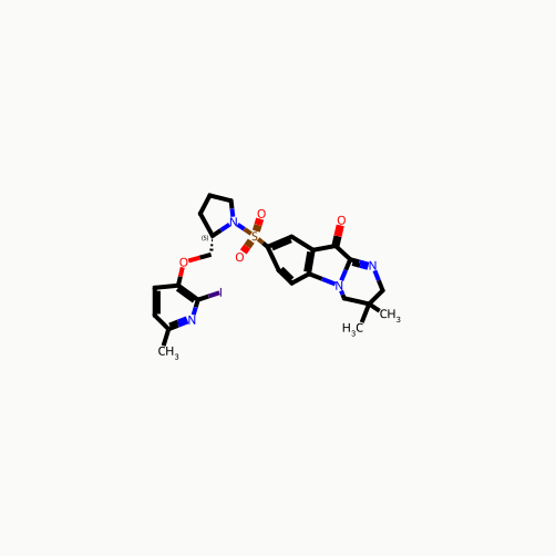 Cc1ccc(OC[C@@H]2CCCN2S(=O)(=O)c2ccc3c(c2)C(=O)C2=NCC(C)(C)CN23)c(I)n1